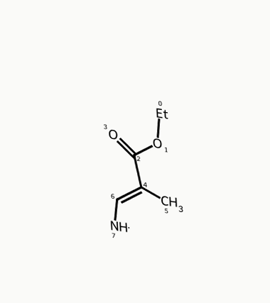 CCOC(=O)/C(C)=C/[NH]